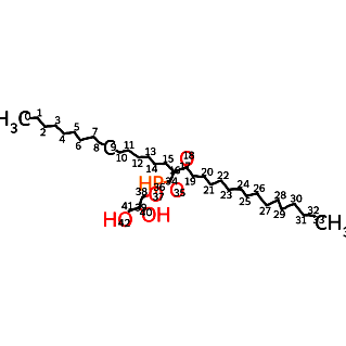 CCCCCCCCCCCCCCCCC(C(=O)CCCCCCCCCCCCCCC)C(=O)POCC(O)CO